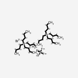 CCCC[N+](CCCC)(CCCC)CCCC.CCCC[N+](CCCC)(CCCC)CCCC.F[B-](F)(F)F.[Br-]